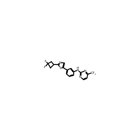 FC1(F)CC(c2ncc(-c3cccc(Nc4nccc(C(F)(F)F)n4)c3)s2)C1